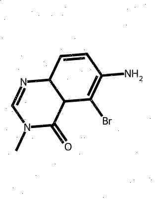 CN1C=NC2C=CC(N)=C(Br)C2C1=O